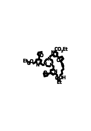 CCOOCc1cc(-c2ccco2)cc(CN2CCN(Cc3cc(-c4ccco4)cc(COOCC)n3)CCN(Cc3cc(-c4ccc(C#CCCCCO)o4)cc(C(=O)OCC)n3)CC2)n1